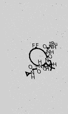 CC(C)(C)NC(=O)N[C@H]1CCC(F)(F)CCCCCC[C@@H](C(=O)C(=O)NC2CC2)NC(=O)[C@@H]2[C@@H]3[C@H](CN2C1=O)C3(C)C